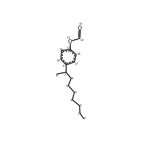 CCCCCCCC(C)c1ccc(OC=O)cc1